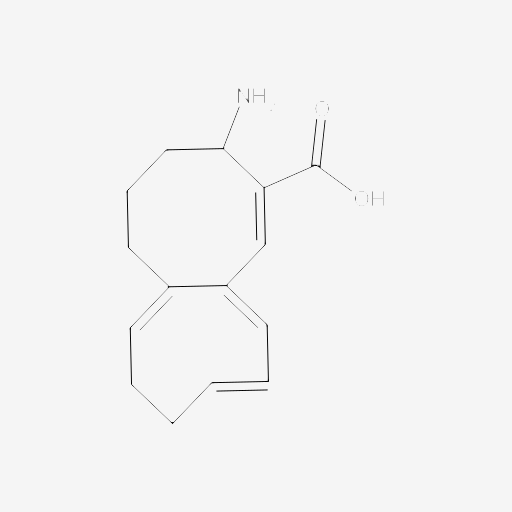 NC1CCC/C2=C/CC/C=C/C=C2/C=C\1C(=O)O